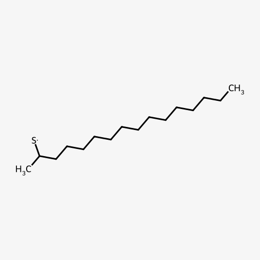 CCCCCCCCCCCCCCC(C)[S]